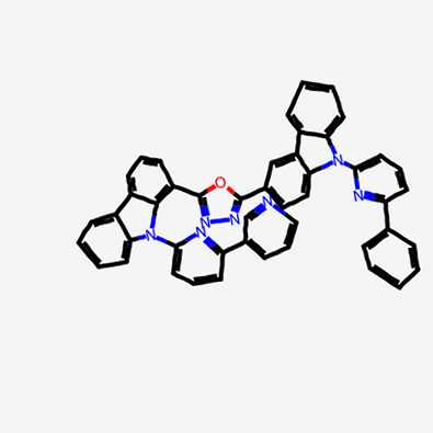 c1ccc(-c2cccc(-n3c4ccccc4c4cc(-c5nnc(-c6cccc7c8ccccc8n(-c8cccc(-c9cccnc9)n8)c67)o5)ccc43)n2)cc1